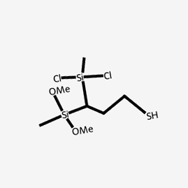 CO[Si](C)(OC)C(CCS)[Si](C)(Cl)Cl